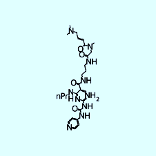 C=C(/N=C(NCCC)\C(=C/N)C(=O)NCCCNC(=O)CN(C)C(=O)/C=C/CN(C)C)NC(=O)Nc1ccncc1